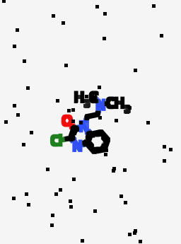 CN(C)CCn1c(=O)c(Cl)nc2ccccc21